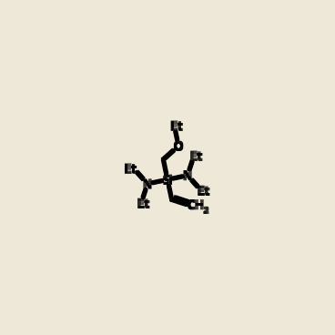 C=C[Si](COCC)(N(CC)CC)N(CC)CC